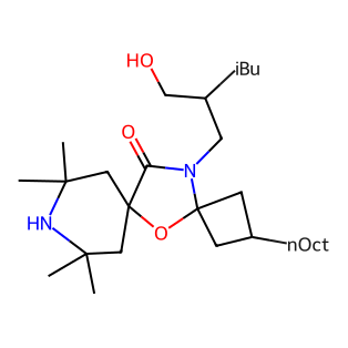 CCCCCCCCC1CC2(C1)OC1(CC(C)(C)NC(C)(C)C1)C(=O)N2CC(CO)C(C)CC